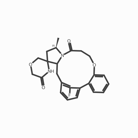 C[C@@H]1CC2(COCC(=O)N2)C2Cc3cccc(c3F)-c3ccccc3OCCC(=O)N21